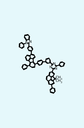 CC1(C)c2cc(-c3ccccc3)cc3ccc4cc(-c5nc(-c6ccccc6)nc(-c6cccc(-c7ccc(-c8ccc(-c9ccccc9)c9c8-c8ccc(-c%10ccc(-c%11nc%12ccccc%12n%11-c%11ccccc%11)cc%10)c%10cccc-9c8%10)cc7)c6)n5)cc1c4c23